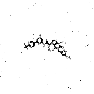 Cc1cc(Cn2c(=O)c3c(ncn3[C@@H](C)C(=O)NC3=CNCC(c4cnc(C(F)(F)F)nc4)=N3)n(C)c2=O)no1